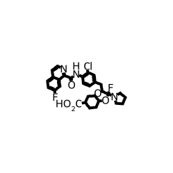 O=C(Nc1ccc(CC(=O)C(F)(OC2CCC(C(=O)O)CC2)N2CCCC2)cc1Cl)c1nccc2ccc(F)cc12